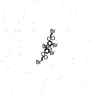 O=C(C=CBr)Oc1cc(Br)c(Sc2c(Br)cc(OC(=O)C=CBr)cc2Br)c(Br)c1